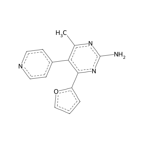 Cc1nc(N)nc(-c2ccco2)c1-c1ccncc1